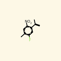 C=C(C)c1cc(F)c(C)cc1[N+](=O)[O-]